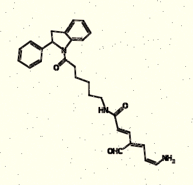 N\C=C/C=C(C=O)/C=C/C(=O)NCCCCCC(=O)N1c2ccccc2CC1c1ccccc1